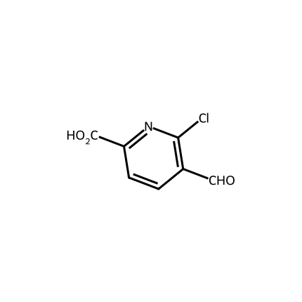 O=Cc1ccc(C(=O)O)nc1Cl